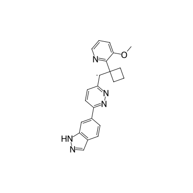 COc1cccnc1C1([CH]c2ccc(-c3ccc4cn[nH]c4c3)nn2)CCC1